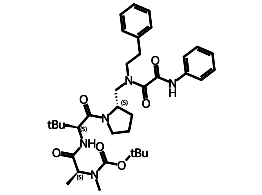 C[C@@H](C(=O)N[C@H](C(=O)N1CCC[C@H]1CN(CCc1ccccc1)C(=O)C(=O)Nc1ccccc1)C(C)(C)C)N(C)C(=O)OC(C)(C)C